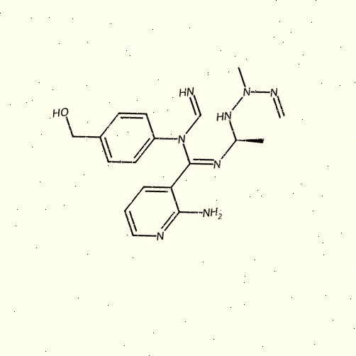 C=NN(C)N[C@@H](C)/N=C(/c1cccnc1N)N(C=N)c1ccc(CO)cc1